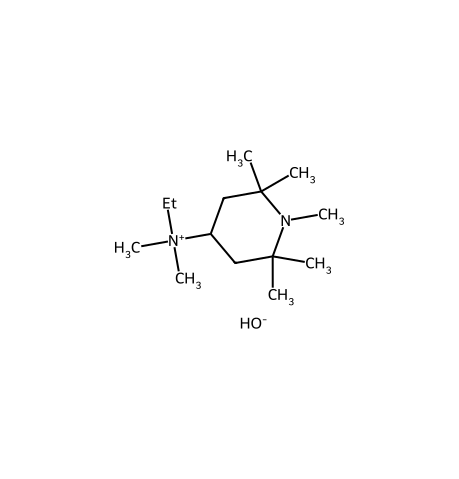 CC[N+](C)(C)C1CC(C)(C)N(C)C(C)(C)C1.[OH-]